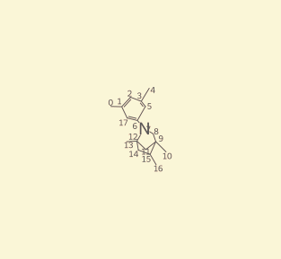 Cc1cc(C)cc(N2CC3(C)CC2(C)CC3C)c1